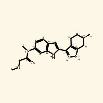 COCC(=O)N(C)c1ccc2cc(-c3n[nH]c4c3CC[C@@H](C)C4)[nH]c2c1